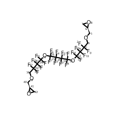 FC(F)(COC[C@H]1CO1)C(F)(F)C(F)(F)OC(F)(F)C(F)(F)C(F)(F)C(F)(F)OC(F)(F)C(F)(F)C(F)(F)COC[C@H]1CO1